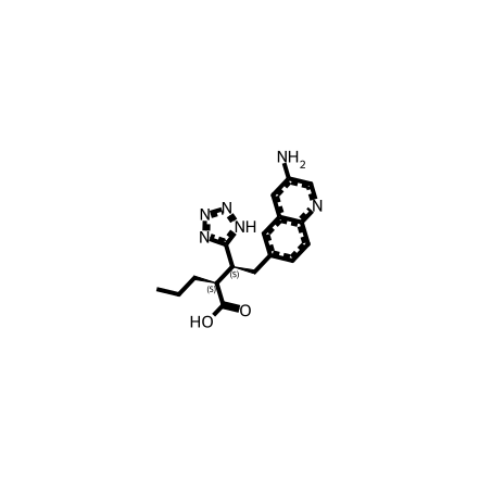 CCC[C@H](C(=O)O)[C@H](Cc1ccc2ncc(N)cc2c1)c1nnn[nH]1